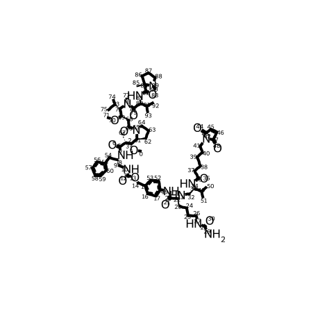 CO[C@H]([C@@H](C)C(=O)N[C@H](CNC(=O)OCc1ccc(NC(=O)[C@H](CCCCNC(N)=O)NC[C@@H](NC(=O)CCCCCN2C(=O)C=CC2=O)C(C)C)cc1)Cc1ccccc1)[C@@H]1CCCN1C(=O)C[C@@H](OC)[C@H](C(C)C)N(C)C(=O)[C@@H](NC(=O)[C@]1(C)CCCN1C)C(C)C